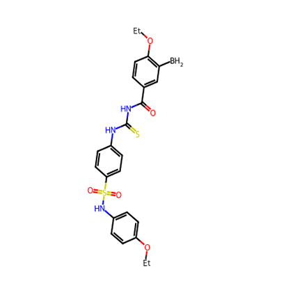 Bc1cc(C(=O)NC(=S)Nc2ccc(S(=O)(=O)Nc3ccc(OCC)cc3)cc2)ccc1OCC